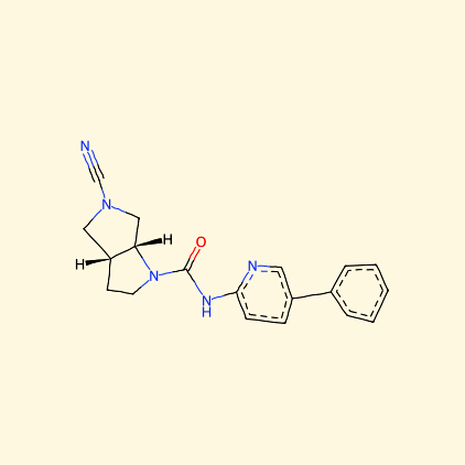 N#CN1C[C@H]2CCN(C(=O)Nc3ccc(-c4ccccc4)cn3)[C@H]2C1